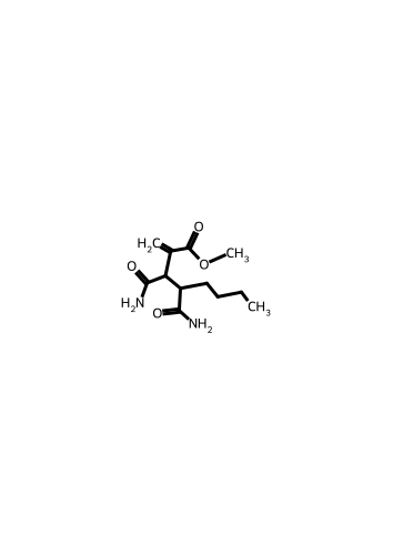 C=C(C(=O)OC)C(C(N)=O)C(CCCC)C(N)=O